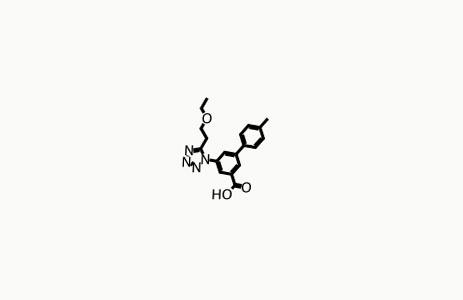 CCOCCc1nnnn1-c1cc(C(=O)O)cc(-c2ccc(C)cc2)c1